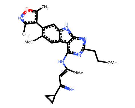 CN/C(=C\C(=N)C1CC1)Nc1nc(CCOC)nc2[nH]c3cc(-c4c(C)noc4C)c(OC)cc3c12